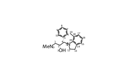 CNC[C@@H](O)[C@H](c1ccccc1)N1CCc2cccc(C)c21